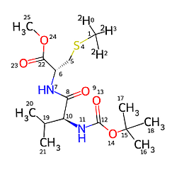 [2H]C([2H])([2H])SC[C@H](NC(=O)[C@@H](NC(=O)OC(C)(C)C)C(C)C)C(=O)OC